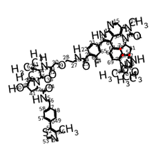 COC(=O)N[C@@H]1CC[C@@H](n2c(=O)n(C)c3cnc4[nH]c(-c5ccc(C(=O)NCCOCC(=O)N[C@H](C(=O)N6C[C@H](O)C[C@H]6C(=O)NCc6ccc(-c7scnc7C)cc6)C(C)(C)C)c(F)c5)c(-c5ccc6c(cnn6C(C)C)c5)c4c32)C1